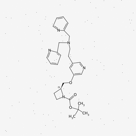 CC(C)(C)OC(=O)N1CC[C@H]1COc1cncc(CCN(Cc2ccccn2)Cc2ccccn2)c1